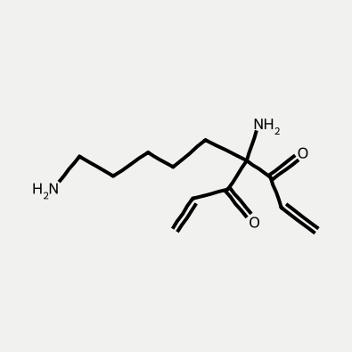 C=CC(=O)C(N)(CCCCCN)C(=O)C=C